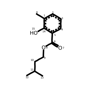 Cc1cccc(C(=O)OCCC(C)C)c1O